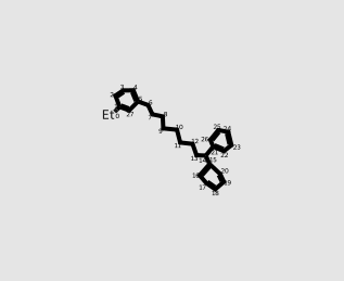 CCc1cccc(CCCCCCCCC(c2ccccc2)c2ccccc2)c1